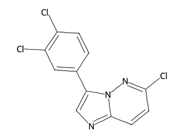 Clc1ccc2ncc(-c3ccc(Cl)c(Cl)c3)n2n1